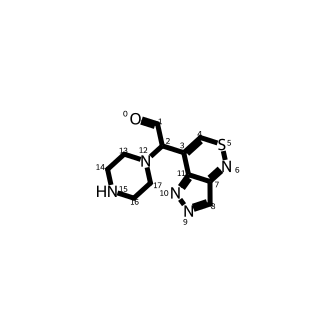 O=CC(c1csnc2cnnc1-2)N1CCNCC1